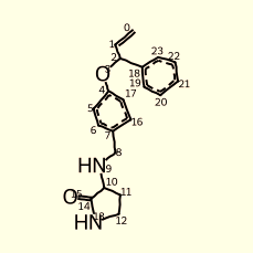 C=CC(Oc1ccc(CNC2CCNC2=O)cc1)c1ccccc1